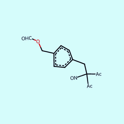 CC(=O)C(Cc1ccc(COC=O)cc1)(N=O)C(C)=O